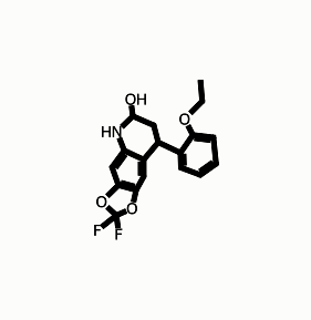 CCOc1ccccc1C1CC(O)Nc2cc3c(cc21)OC(F)(F)O3